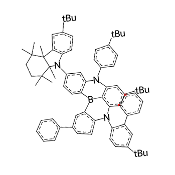 CC(C)(C)c1ccc(N2c3cc(N4c5ccc(C(C)(C)C)cc5C5(C)C(C)(C)CCC(C)(C)C45C)ccc3B3c4cc(-c5ccccc5)ccc4N(c4ccc(C(C)(C)C)cc4-c4ccccc4)c4cc(C(C)(C)C)cc2c43)cc1